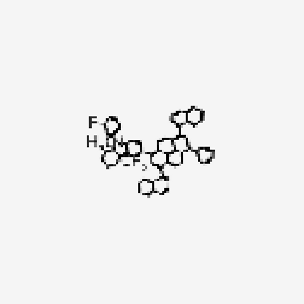 CC12CCCCC1(C)N(c1cccc(F)c1)c1ccc(-c3cc(-c4cccc5ccccc45)c4ccc5c(-c6ccccc6)cc(-c6cccc7ccccc67)c6ccc3c4c56)cc12